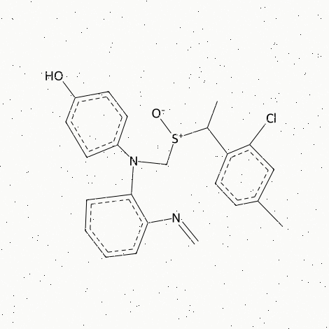 C=Nc1ccccc1N(C[S+]([O-])C(C)c1ccc(C)cc1Cl)c1ccc(O)cc1